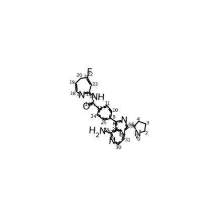 CN1CCC[C@H]1c1nc(-c2ccc(C(=O)NC3=NC=CCC(F)=C3)cc2)c2c(N)nccn12